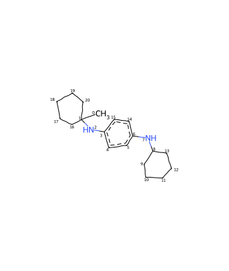 CC1(Nc2ccc(NC3CCCCC3)cc2)CCCCC1